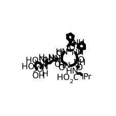 CC(=O)N[C@@H]1[C@@H](O)[C@H](O)[C@@H](CO)O[C@H]1NC(=O)CC(N)C(=O)N[C@H]1CC(=O)NC[C@@H](C(=O)NC(CC(C)C)C(=O)O)NC(=O)[C@H](Cc2ccccc2)NC(=O)[C@H](Cc2c[nH]c3ccccc23)NC1=O